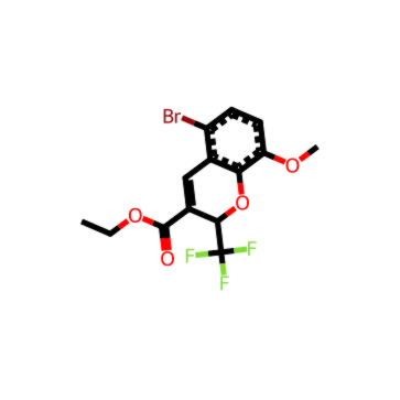 CCOC(=O)C1=Cc2c(Br)ccc(OC)c2OC1C(F)(F)F